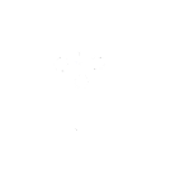 CN(C)CCCCOc1ccc(/C(=C(/Cl)c2ccccc2)c2ccccc2)cc1